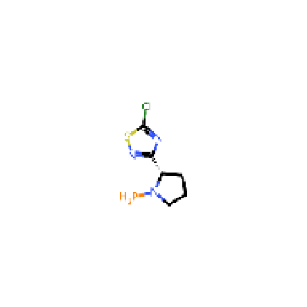 PN1CCC[C@H]1c1nsc(Cl)n1